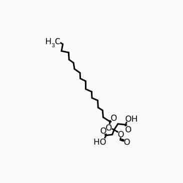 CCCCCCCCCCCCCCCCCC(=O)OC(CC(=O)O)(CC(=O)O)OC=O